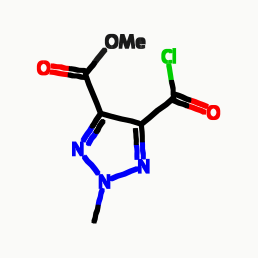 COC(=O)c1nn(C)nc1C(=O)Cl